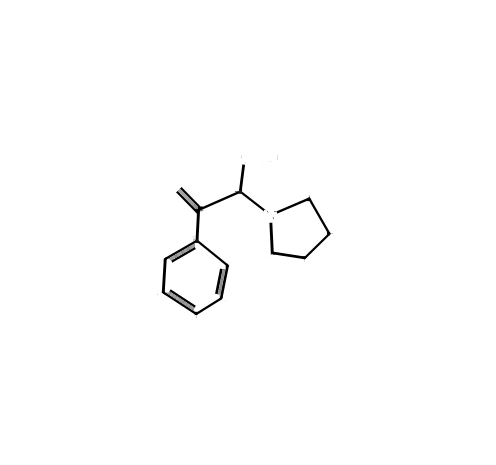 CCOC(=O)C(C(=O)c1ccccc1)N1CCCC1